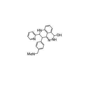 CNCc1ccc(C2C3=NNC(O)c4cccc(c43)NC2c2ccccn2)cc1